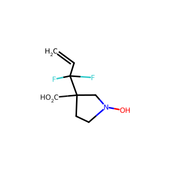 C=CC(F)(F)C1(C(=O)O)CCN(O)C1